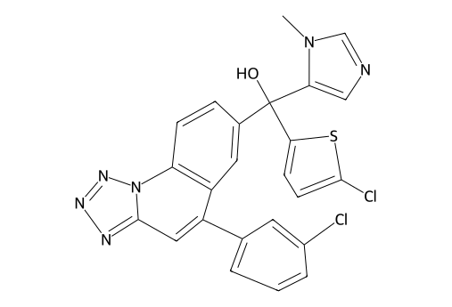 Cn1cncc1C(O)(c1ccc2c(c1)c(-c1cccc(Cl)c1)cc1nnnn12)c1ccc(Cl)s1